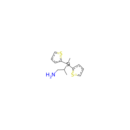 CC(CN)[Si](C)(c1cccs1)c1cccs1